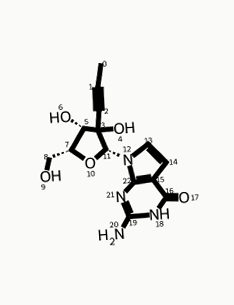 CC#CC1(O)[C@@H](O)[C@@H](CO)O[C@H]1n1ccc2c(=O)[nH]c(N)nc21